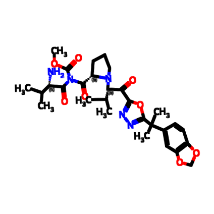 COC(=O)N(C(=O)[C@@H](N)C(C)C)C(=O)[C@@H]1CCCN1[C@H](C(=O)c1nnc(C(C)(C)c2ccc3c(c2)OCO3)o1)C(C)C